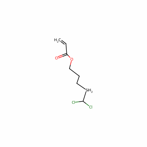 C=CC(=O)OCCC[SiH2]C(Cl)Cl